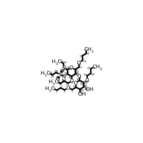 CCCCOCC1OC(O[C@@H]2C(COCCCC)OC(SCC)[C@@H](NS(=O)(=O)CCC)C2OCCCC)[C@@H](OCCCC)[C@H](O)C1O